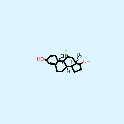 C[C@]12CCC(O)C=C1CC[C@@H]1[C@H]2C(F)C[C@]2(C)C(O)CC[C@@H]12